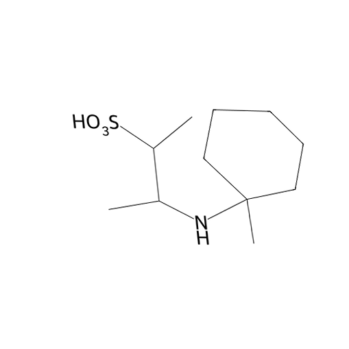 CC(NC1(C)CCCCC1)C(C)S(=O)(=O)O